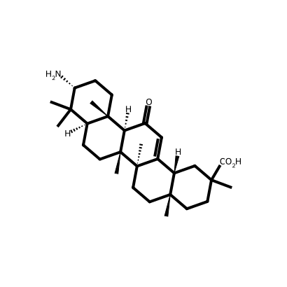 CC1(C(=O)O)CC[C@]2(C)CC[C@]3(C)C(=CC(=O)[C@@H]4[C@@]5(C)CC[C@@H](N)C(C)(C)[C@@H]5CC[C@]43C)[C@@H]2C1